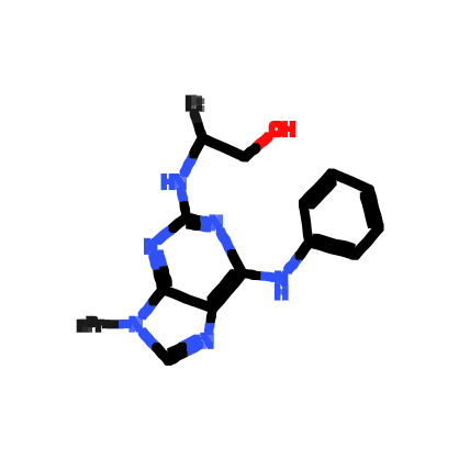 CCCn1cnc2c(Nc3ccccc3)nc(NC(CC)CO)nc21